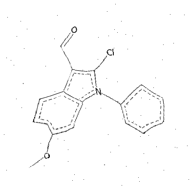 COc1ccc2c(C=O)c(Cl)n(-c3ccccc3)c2c1